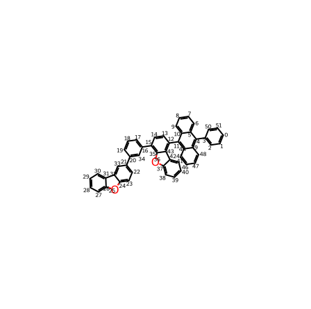 c1ccc(-c2c3ccccc3c(-c3ccc(-c4cccc(-c5ccc6oc7ccccc7c6c5)c4)c4oc5ccccc5c34)c3ccccc23)cc1